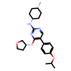 CC(C)Oc1ccc(-c2cnc(N[C@H]3CC[C@@H](C)CC3)nc2O[C@@H]2CCOC2)cc1